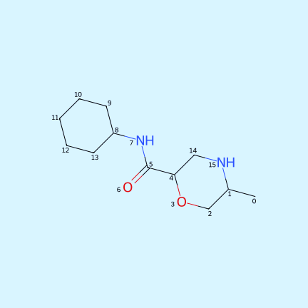 CC1COC(C(=O)NC2CCCCC2)CN1